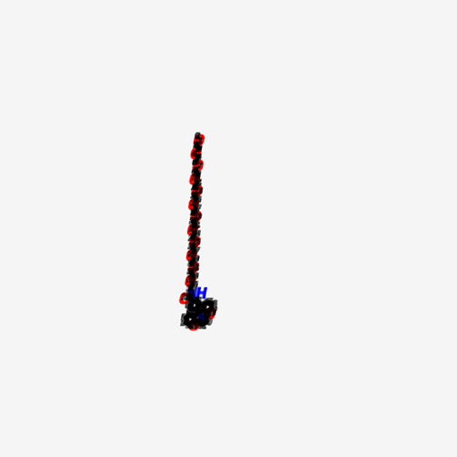 COCCOCCOCCOCCOCCOCCOCCOCCOCCOCCOCCOCCNC(=O)c1ccc(C(c2ccccc2)(c2ccccc2)N2C(=O)C=CC2=O)cc1